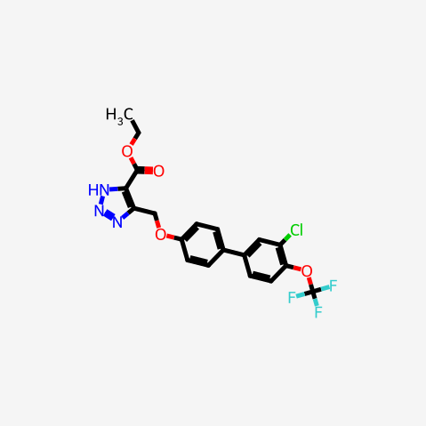 CCOC(=O)c1[nH]nnc1COc1ccc(-c2ccc(OC(F)(F)F)c(Cl)c2)cc1